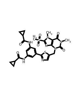 Cn1c(=O)c2c(nc(S(C)(=O)=O)n2C)n(Cc2cnc(-c3cc(NC(=O)C4CC4)cc(NC(=O)C4CC4)c3)s2)c1=O